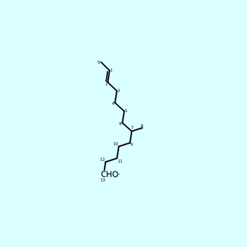 CC=CCCCCC(C)CCCC[C]=O